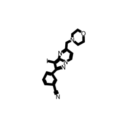 N#Cc1cccc(-c2nn3ccc(CN4CCOCC4)nc3c2I)c1